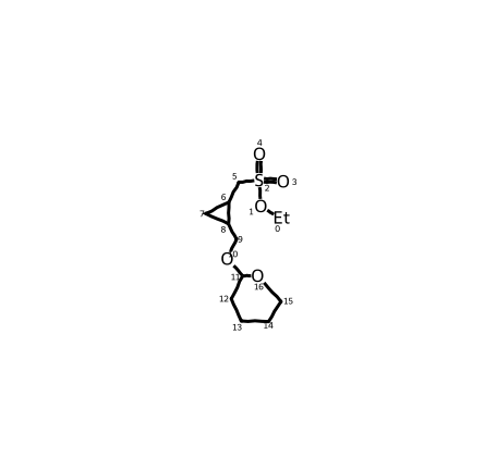 CCOS(=O)(=O)CC1CC1COC1CCCCO1